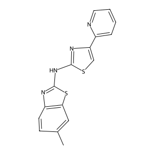 Cc1ccc2nc(Nc3nc(-c4ccccn4)cs3)sc2c1